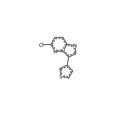 Clc1ccc2ncc(-c3ccsc3)n2n1